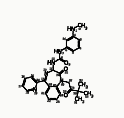 CNc1cccc(NC(=O)NC2N=C(c3ccccn3)c3ccccc3N(CC(=O)C(C)(C)C)C2=O)c1